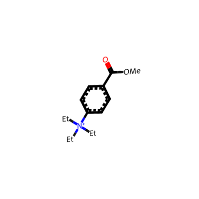 CC[N+](CC)(CC)c1ccc(C(=O)OC)cc1